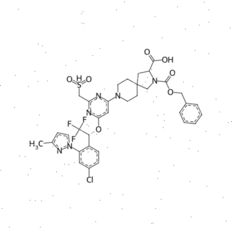 Cc1ccn(-c2cc(Cl)ccc2[C@@H](Oc2cc(N3CCC4(CC3)CC(C(=O)O)N(C(=O)OCc3ccccc3)C4)nc(C[SH](=O)=O)n2)C(F)(F)F)n1